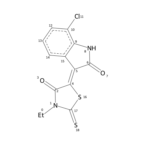 CCN1C(=O)/C(=C2/C(=O)Nc3c(Cl)cccc32)SC1=S